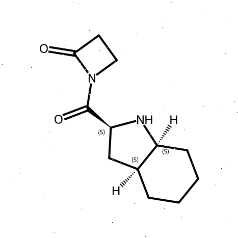 O=C1CCN1C(=O)[C@@H]1C[C@@H]2CCCC[C@@H]2N1